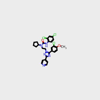 COc1ccc(-c2nc(-c3ccncc3)nn2CCN(C(=O)Nc2ccc(Cl)cc2Cl)C2CCCC2)cc1Cl